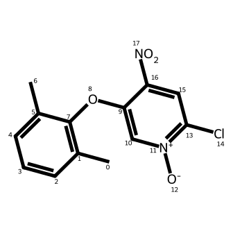 Cc1cccc(C)c1Oc1c[n+]([O-])c(Cl)cc1[N+](=O)[O-]